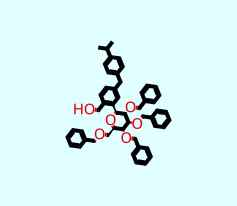 CC(C)c1ccc(Cc2ccc(CO)c([C@@H]3O[C@H](COCc4ccccc4)[C@@H](OCc4ccccc4)[C@H](OCc4ccccc4)[C@H]3OCc3ccccc3)c2)cc1